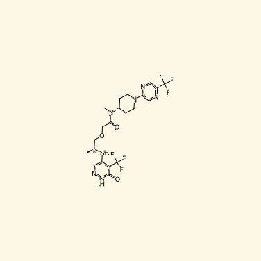 C[C@@H](COCC(=O)N(C)C1CCN(c2cnc(C(F)(F)F)cn2)CC1)Nc1cn[nH]c(=O)c1C(F)(F)F